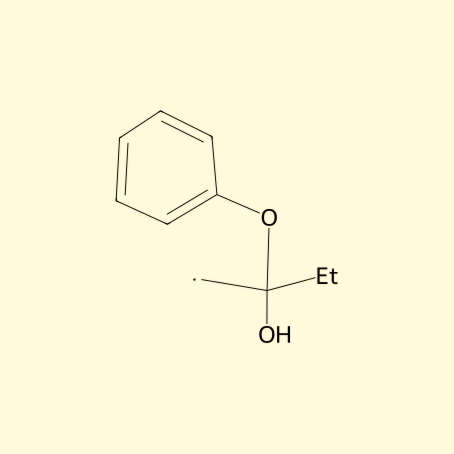 [CH2]C(O)(CC)Oc1ccccc1